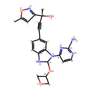 Cc1cc([C@](C)(O)C#Cc2ccc3c(c2)N(c2ccnc(N)n2)C(OC2COC2)N3)no1